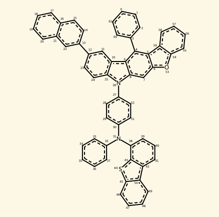 c1ccc(-c2c3c(cc4c2c2cc(-c5ccc6ccccc6c5)ccc2n4-c2ccc(N(c4ccccc4)c4cccc5c4sc4ccccc45)cc2)oc2ccccc23)cc1